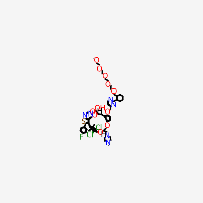 COCCOCCOCCOCCOCC1CCCCC1c1nccc(COc2ccc3cc2C[C@H](C(=O)O)Oc2ncnc4sc(-c5ccc(F)cc5)c(c24)-c2c(C)c(Cl)c(c(Cl)c2C)O[C@H](CN2CCN(C)CC2)CO3)n1